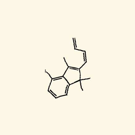 C=C/C=C\C1=C(C)c2c(I)cccc2C1(C)C